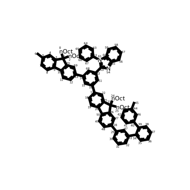 CCCCCCCCC1(CCCCCCCC)c2cc(C)ccc2-c2ccc(-c3cc(-c4ccc5c(c4)C(CCCCCCCC)(CCCCCCCC)c4cc(-c6cccc(-c7ccccc7-c7cccc(C)c7)c6)ccc4-5)cc(-c4nc5ccccc5n4-c4ccccc4)c3)cc21